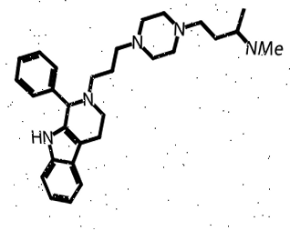 CNC(C)CCN1CCN(CCCN2CCc3c([nH]c4ccccc34)C2c2ccccc2)CC1